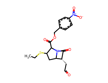 CCSC1CC2[C@@H](CC=O)C(=O)N2C1C(=O)OCc1ccc([N+](=O)[O-])cc1